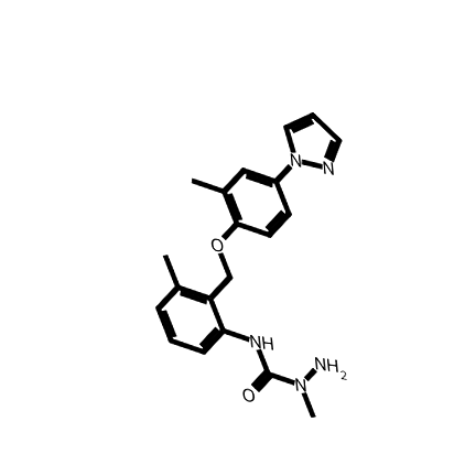 Cc1cc(-n2cccn2)ccc1OCc1c(C)cccc1NC(=O)N(C)N